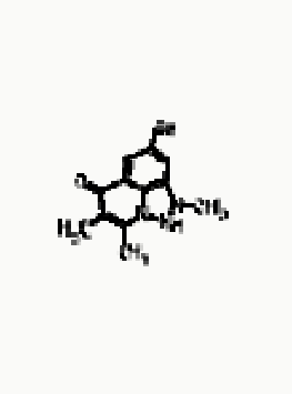 CCC(C)c1cc2c3c(c1)c(=O)c(C)c(C)n3NN2C